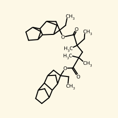 CCC(C)(CC(C)(C)C(=O)OC1(CC)CC2CC1C1C3CCC(C3)C21)C(=O)OC1(CC)CC2CC1C1C3CCC(C3)C21